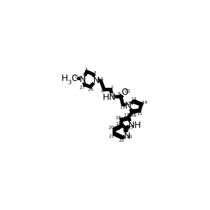 CN1CCN(CCCNC(=O)Cn2cccc2-c2cc3cccnc3[nH]2)CC1